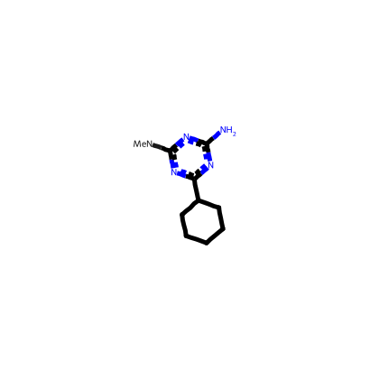 CNc1nc(N)nc(C2CCCCC2)n1